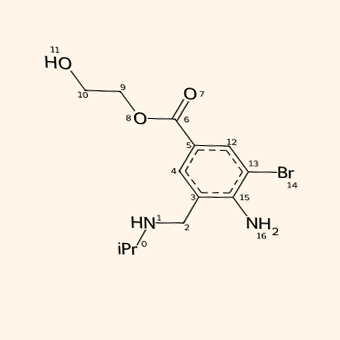 CC(C)NCc1cc(C(=O)OCCO)cc(Br)c1N